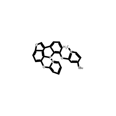 C[n+]1ccc(C(C)(C)C)cc1Oc1cccc2c3coc4ccc5oc6cccc[n+]6p(c12)-c5c43